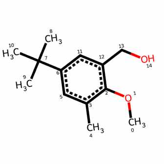 COc1c(C)cc(C(C)(C)C)cc1CO